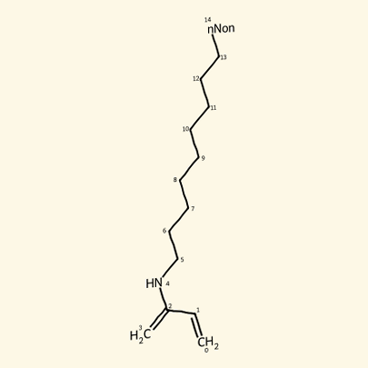 C=CC(=C)NCCCCCCCCCCCCCCCCCC